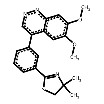 COc1cc2nncc(-c3cccc(C4=NC(C)(C)CS4)c3)c2cc1OC